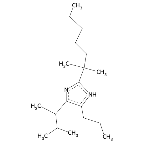 CCCCCC(C)(C)c1nc(C(C)C(C)C)c(CCC)[nH]1